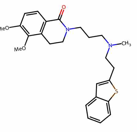 COc1ccc2c(c1OC)CCN(CCCN(C)CCc1cc3ccccc3s1)C2=O